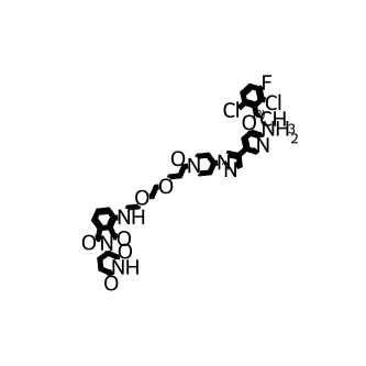 C[C@@H](Oc1cc(-c2cnn(C3CCN(C(=O)CCOCCOCCNc4cccc5c4C(=O)N(C4CCC(=O)NC4=O)C5=O)CC3)c2)cnc1N)c1c(Cl)ccc(F)c1Cl